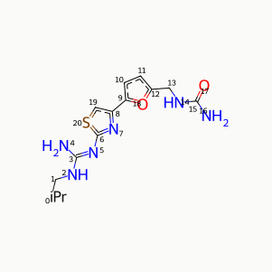 CC(C)CN/C(N)=N/c1nc(-c2ccc(CNC(N)=O)o2)cs1